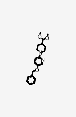 COC(OC)C1CCN(c2ccc(OCc3ccccc3)cn2)CC1